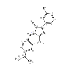 CC1=NN(c2cccc(F)c2)C(=O)/C1=C/c1ccc(N(C)C)cc1